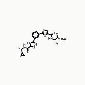 COC(=O)[C@@H](NC(=O)c1cnc(-c2cccc(-c3nnc(C(=O)N[C@@H](C)C4CC4)[nH]3)c2)o1)C(C)C